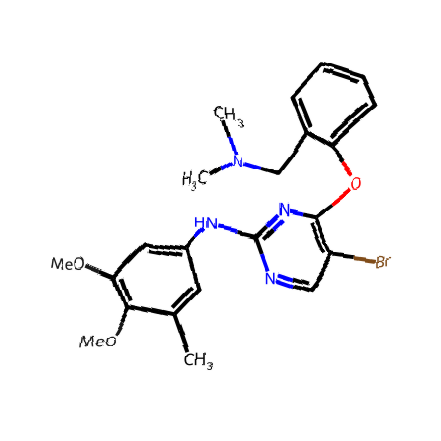 COc1cc(Nc2ncc(Br)c(Oc3ccccc3CN(C)C)n2)cc(C)c1OC